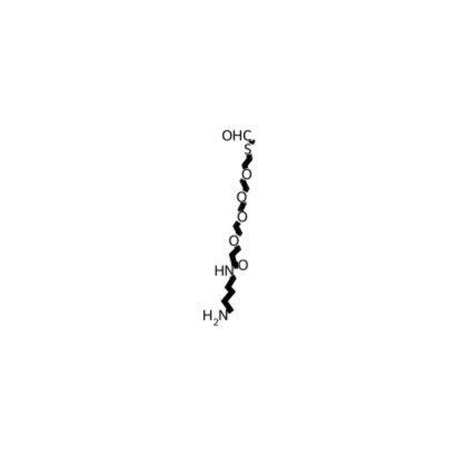 NCCCCCNC(=O)CCOCCOCCOCCOCCSCC=O